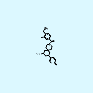 C=C/C=C\C(=C/C)C1CC(CCCC)CC2(CCN(C(=C)c3ccc(CC(C)C)c(C)c3)CC2)C1